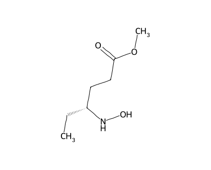 CC[C@H](CCC(=O)OC)NO